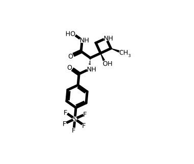 C[C@@H]1NC[C@@]1(O)[C@H](NC(=O)c1ccc(S(F)(F)(F)(F)F)cc1)C(=O)NO